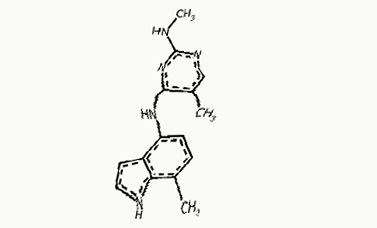 CNc1ncc(C)c(Nc2ccc(C)c3[nH]ccc23)n1